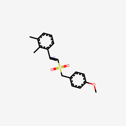 COc1ccc(CS(=O)(=O)/C=C/c2cccc(C)c2C)cc1